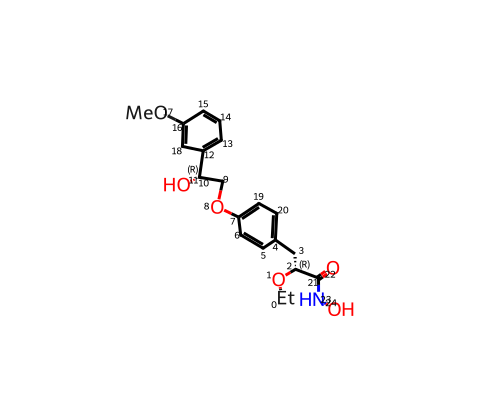 CCO[C@H](Cc1ccc(OC[C@H](O)c2cccc(OC)c2)cc1)C(=O)NO